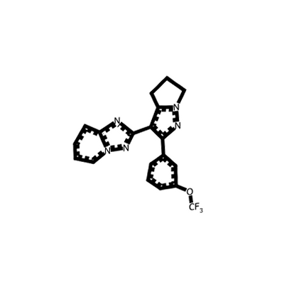 FC(F)(F)Oc1cccc(-c2nn3c(c2-c2nc4ccccn4n2)CCC3)c1